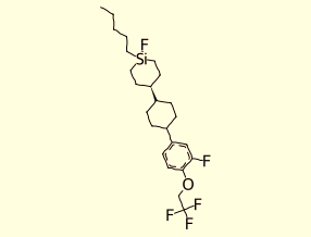 CCCCC[Si@]1(F)CC[C@@H](C2CCC(c3ccc(OCC(F)(F)F)c(F)c3)CC2)CC1